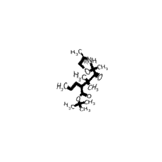 CCCC(C(=O)OC(C)(C)C)C(C)(C)C(=O)C1(C)N[C@H](C)CO1